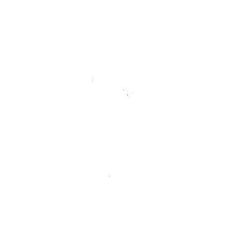 O=C/C=C/c1ccc(CNC2(C(=O)O)CCCC2)cc1